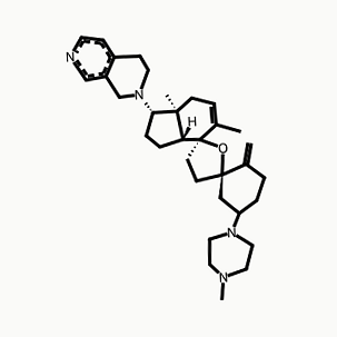 C=C1CCC(N2CCN(C)CC2)C[C@]12CC[C@@]1(O2)C(C)=CC[C@]2(C)[C@@H](N3CCc4ccncc4C3)CC[C@H]21